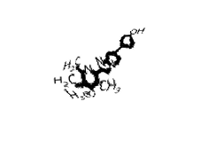 C=Cc1nc(-c2cn3ccc(-c4ccc(O)cc4)cc3n2)c(C)c(OC)c1C=C